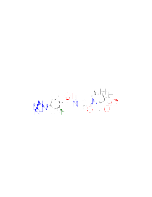 CC1=C(N2C(=O)C3(CCN(C[C@@H](O)c4ccc(-n5cnnn5)cc4F)CC3)CC2C)COC1=O